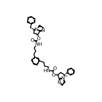 O=C(NCCCc1cccc(CCCNC(=O)O[C@H]2C[C@@H](c3ccccc3)n3ccnc32)c1)O[C@H]1C[C@@H](Cc2ccccc2)n2ccnc21